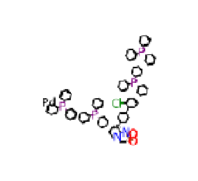 O=S1(=O)CCN2CCC[C@@H](c3ccc(-c4ccccc4Cl)cc3)C2=N1.[Pd].c1ccc(P(c2ccccc2)c2ccccc2)cc1.c1ccc(P(c2ccccc2)c2ccccc2)cc1.c1ccc(P(c2ccccc2)c2ccccc2)cc1.c1ccc(P(c2ccccc2)c2ccccc2)cc1